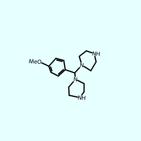 COc1ccc(C(N2CCNCC2)N2CCNCC2)cc1